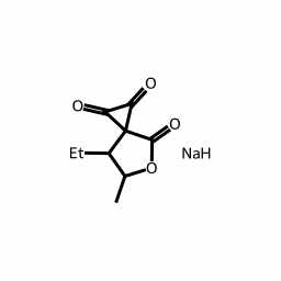 CCC1C(C)OC(=O)C12C(=O)C2=O.[NaH]